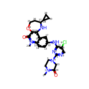 CN1CCN(c2ncc(Cl)c(Nc3ccc4c(c3)c3c(c(=O)n4C)OCCC(C4CC4)N3)n2)CC1=O